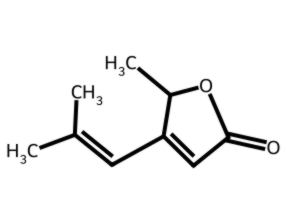 CC(C)=CC1=CC(=O)OC1C